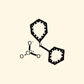 [O-][Cl+2]([O-])[O-].c1ccc([I+]c2ccccc2)cc1